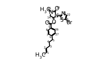 CC=CCCCc1ccc(C(=O)OC2CN(C)C(=O)N2c2ncc(Br)s2)cc1